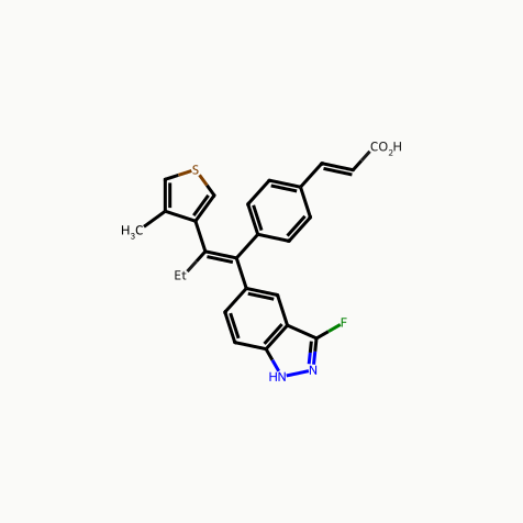 CC/C(=C(/c1ccc(/C=C/C(=O)O)cc1)c1ccc2[nH]nc(F)c2c1)c1cscc1C